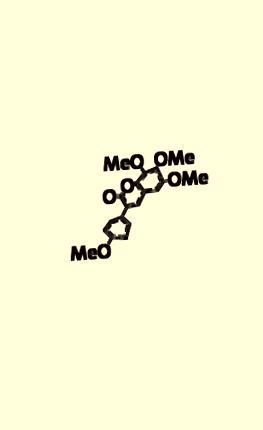 COc1ccc(-c2cc3cc(OC)c(OC)c(OC)c3oc2=O)cc1